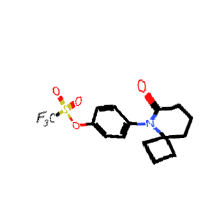 O=C1CCCC2(CCC2)N1c1ccc(OS(=O)(=O)C(F)(F)F)cc1